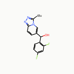 CC(C)(C)c1nnc2ccc(C(O)c3ccc(F)cc3F)cn12